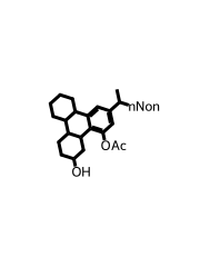 CCCCCCCCCC(C)c1cc(OC(C)=O)c2c(c1)C1CCCCC1C1CCC(O)CC21